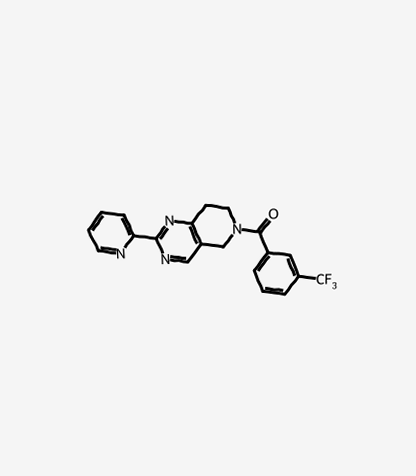 O=C(c1cccc(C(F)(F)F)c1)N1CCc2nc(-c3ccccn3)ncc2C1